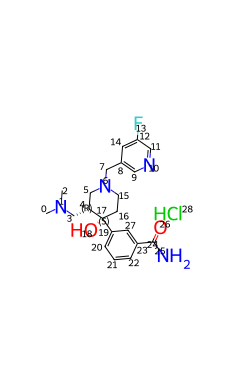 CN(C)C[C@@H]1CN(Cc2cncc(F)c2)CC[C@@]1(O)c1cccc(C(N)=O)c1.Cl